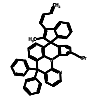 C=C/C=C\C1=C(C)C2(c3ccccc31)c1ccc(C(C)C)cc1N1c3ncccc3C(c3ccccc3)(c3ccccc3)c3cccc2c31